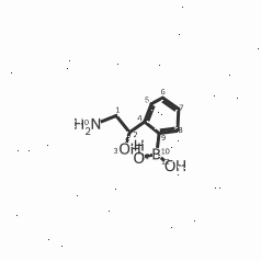 NCC(O)c1ccccc1B(O)O